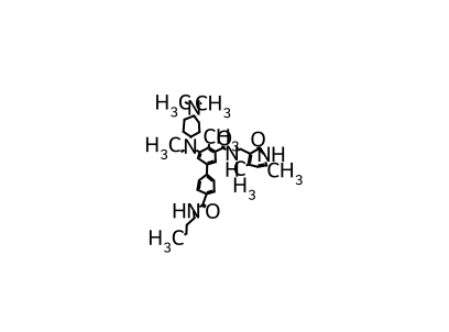 CCCCNC(=O)c1ccc(-c2cc(C(=O)NCc3c(C)cc(C)[nH]c3=O)c(C)c(N(CC)[C@H]3CC[C@H](N(C)C)CC3)c2)cc1